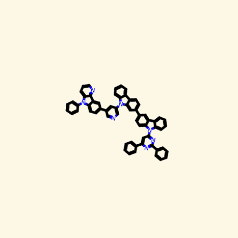 c1ccc(-c2cc(-n3c4ccccc4c4cc(-c5ccc6c7ccccc7n(-c7cncc(-c8ccc9c(c8)c8ncccc8n9-c8ccccc8)c7)c6c5)ccc43)nc(-c3ccccc3)n2)cc1